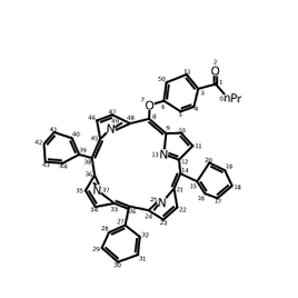 CCCC(=O)c1ccc(OC2=C3C=CC(=N3)C(c3ccccc3)=C3C=CC(=N3)C(c3ccccc3)=C3C=CC(=N3)C(c3ccccc3)=C3C=CC2=N3)cc1